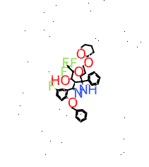 O=C(C(O)C1C(c2cc(F)ccc2OCc2ccccc2)=NNC1(CCCOC1CCCCO1)c1ccccc1)C(F)(F)F